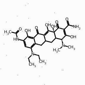 CCN(CC)c1cc(NC(C)=O)c(O)c2c1CC1CC3[C@H](N(C)C)C(O)=C(C(N)=O)C(=O)[C@@]3(O)C(O)=C1C2=O